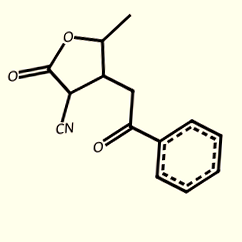 CC1OC(=O)C(C#N)C1CC(=O)c1ccccc1